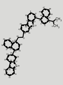 CC(C)c1ccc(-c2cccc3c2sc2cc(CCc4ccc(-c5ccc6c(c5)sc5ccccc56)c5ccccc45)ccc23)c2ccccc12